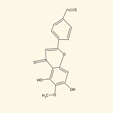 COc1c(O)cc2oc(-c3ccc(C=S)cc3)cc(=O)c2c1O